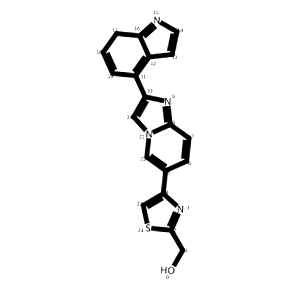 OCc1nc(-c2ccc3nc(C4=C5C=CN=C5CC=C4)cn3c2)cs1